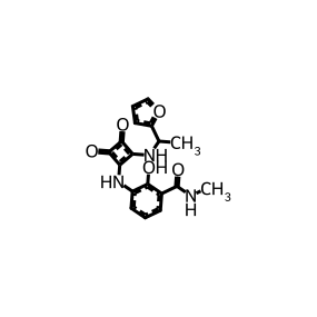 CNC(=O)c1cccc(Nc2c(NC(C)c3ccco3)c(=O)c2=O)c1O